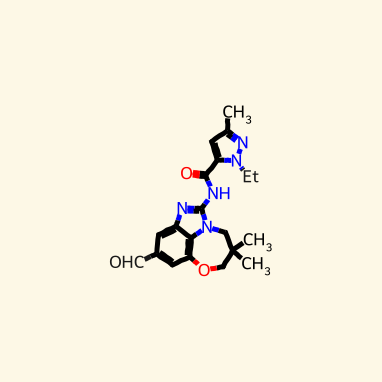 CCn1nc(C)cc1C(=O)Nc1nc2cc(C=O)cc3c2n1CC(C)(C)CO3